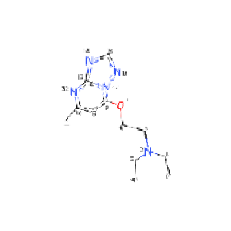 CCN(CC)CCOc1cc(C)nc2ncnn12